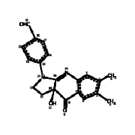 Cc1cc2c(cc1C)C(=O)[C@]1(O)CCN(c3ccc(C=O)cc3)C1=N2